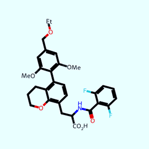 CCOCc1cc(OC)c(-c2ccc(CC(NC(=O)c3c(F)cccc3F)C(=O)O)c3c2CCCO3)c(OC)c1